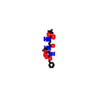 COC(=O)[C@H](CNC(=O)CCNC(=O)OC(C)(C)C)NC(=O)OCc1ccccc1